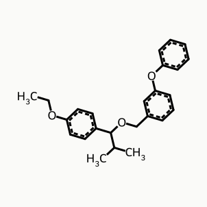 CCOc1ccc(C(OCc2cccc(Oc3ccccc3)c2)C(C)C)cc1